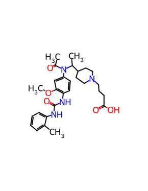 COc1cc(N(C(C)=O)C(C)C2CCN(CCCC(=O)O)CC2)ccc1NC(=O)Nc1ccccc1C